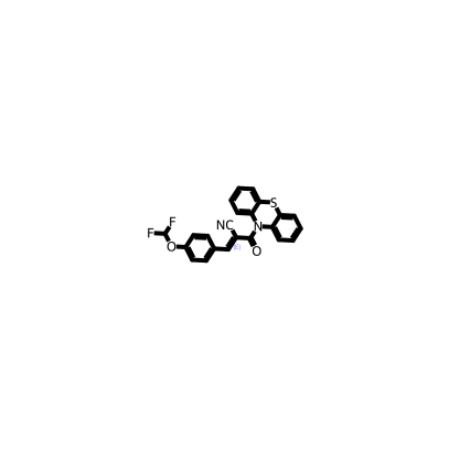 N#C/C(=C\c1ccc(OC(F)F)cc1)C(=O)N1c2ccccc2Sc2ccccc21